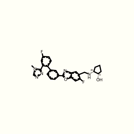 Cn1cnnc1-c1cc(F)ccc1-c1cccc(-c2nc3cc(CN[C@@H]4CCC[C@@H]4O)c(F)cc3o2)c1